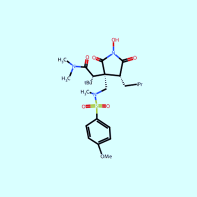 COc1ccc(S(=O)(=O)N(C)C[C@]2([C@@H](C(=O)N(C)C)C(C)(C)C)C(=O)N(O)C(=O)[C@@H]2CC(C)C)cc1